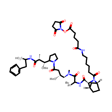 CC[C@H](C)[C@@H]([C@@H](CC(=O)N1CCCC1[C@H](OC)[C@@H](C)C(=O)NC(Cc1ccccc1)C(=O)O)OC)N(C)C(=O)C(NC(=O)[C@@H]1[C@H]2CC[C@H](C2)N1C(=O)CCCCCNC(=O)CCCC(=O)ON1C(=O)CCC1=O)C(C)C